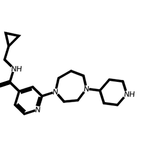 O=C(NCC1CC1)c1ccnc(N2CCCN(C3CCNCC3)CC2)c1